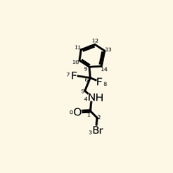 O=C(CBr)NCC(F)(F)c1ccccc1